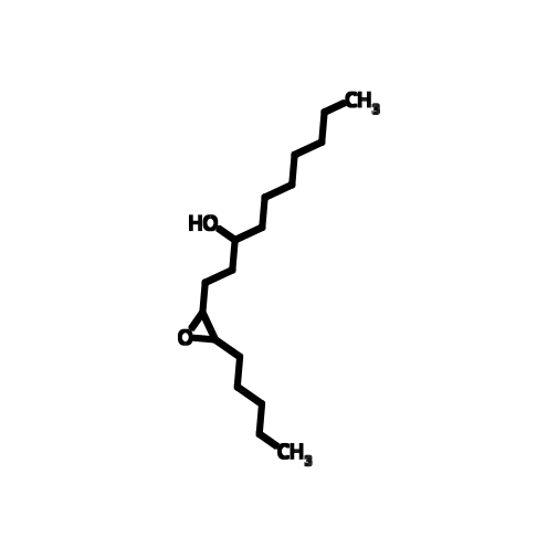 CCCCCCCC(O)CCC1OC1CCCCC